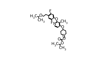 Cc1c(OC2CCN(OC(=O)OC(C)C)CC2)ccnc1Oc1cc(F)c(CCOC(C)C)cc1F